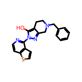 Oc1c2c(nn1-c1nccc3sccc13)CN(Cc1ccccc1)CC2